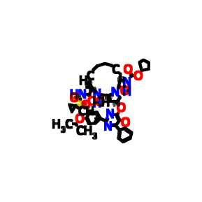 CC(C)Oc1ccc(-c2nc(O[C@@H]3C[C@H]4C(=O)N[C@]5(C(=O)NS(=O)(=O)C6(C)CC6)C[C@H]5CCCCCCC[C@H](NC(=O)OC5CCCC5)C(=O)N4C3)c3oc4ccccc4c3n2)cc1